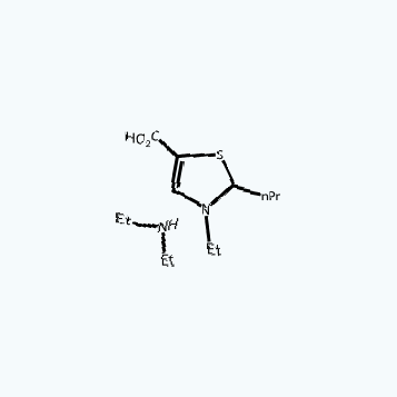 CCCC1SC(C(=O)O)=CN1CC.CCNCC